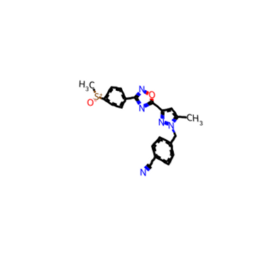 Cc1cc(-c2nc(-c3ccc([S+](C)[O-])cc3)no2)nn1Cc1ccc(C#N)cc1